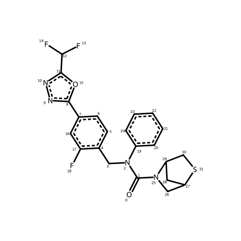 O=C(N(Cc1ccc(-c2nnc(C(F)F)o2)cc1F)c1ccccc1)N1CC2CC1CS2